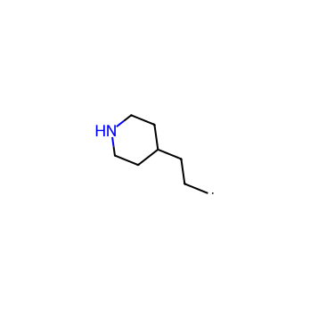 [CH2]CCC1CCNCC1